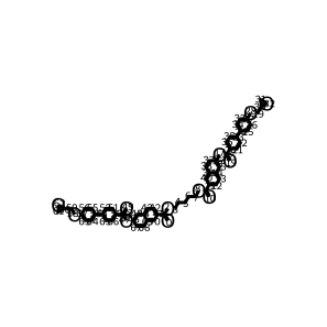 O=C(OCCCCCOC(=O)c1ccc2cc(OC(=O)c3ccc(-c4ccc(OCC5CO5)cc4)cc3)ccc2c1)c1ccc2cc(OC(=O)c3ccc(-c4ccc(OCC5CO5)cc4)cc3)ccc2c1